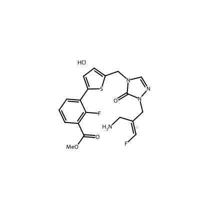 COC(=O)c1cccc(-c2ccc(Cn3cnn(C/C(=C/F)CN)c3=O)s2)c1F.Cl